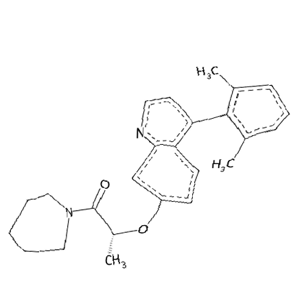 Cc1cccc(C)c1-c1ccnc2cc(O[C@H](C)C(=O)N3CCCCC3)ccc12